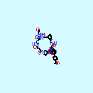 COCCNC(=O)[C@@H]1CCNC(=O)/C=C/C(=O)N2CCC[C@](Cc3ccccc3)(C2)C(=O)N[C@@H](Cc2ccc(-c3ccc(C(C)=O)cc3)cc2)C(=O)NCc2ccccc2CC(=O)N1